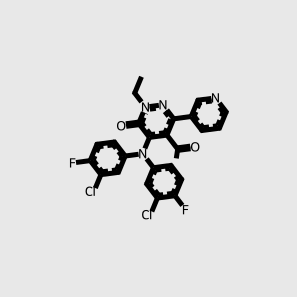 CCn1nc(-c2cccnc2)c(C(C)=O)c(N(c2ccc(F)c(Cl)c2)c2ccc(F)c(Cl)c2)c1=O